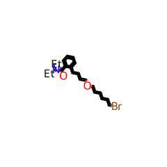 CCN(CC)C(=O)c1ccccc1CCCCOCCCCCCBr